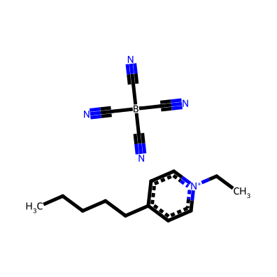 CCCCCc1cc[n+](CC)cc1.N#C[B-](C#N)(C#N)C#N